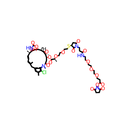 C/C1=C\C=C\[C@@H](C)[C@@]2(O)CC(OC(=O)N2)[C@@H](C)[C@@H]2O[C@@]2(C)[C@@H](OC(=O)[C@H](C)OCCOCCSC2CC(=O)N(CCC(=O)NCCOCCOCCOCCC(=O)ON3C(=O)CCC3=O)C2=O)CC(=O)N(C)c2cc(cc(C)c2Cl)C1